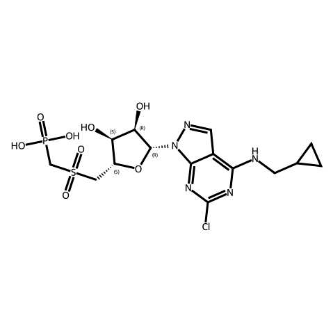 O=P(O)(O)CS(=O)(=O)C[C@H]1O[C@@H](n2ncc3c(NCC4CC4)nc(Cl)nc32)[C@H](O)[C@@H]1O